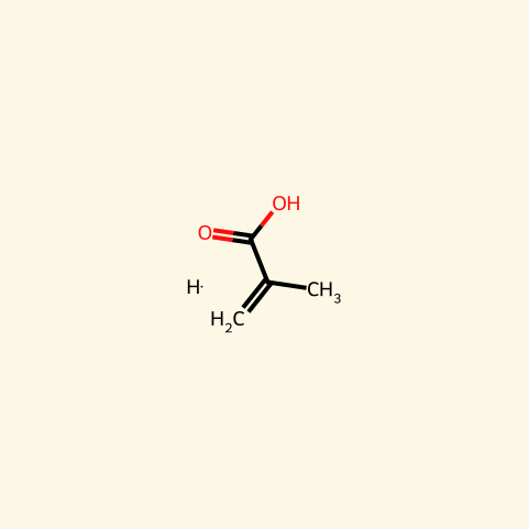 C=C(C)C(=O)O.[H]